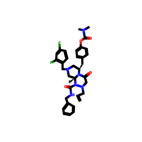 C=CCN1CC(=O)N2[C@@H](Cc3ccc(OC(=O)N(C)C)cc3)CN(Cc3ccc(F)cc3F)C[C@@H]2N1C(=O)NCc1ccccc1